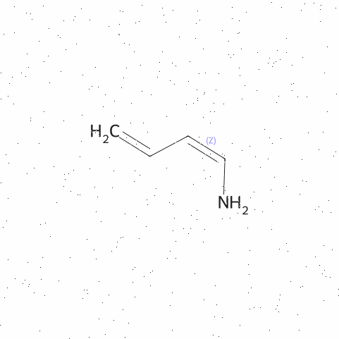 C=C/C=C\N